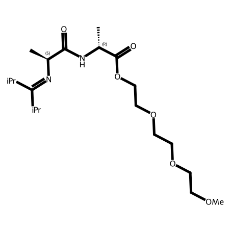 COCCOCCOCCOC(=O)[C@@H](C)NC(=O)[C@H](C)N=C(C(C)C)C(C)C